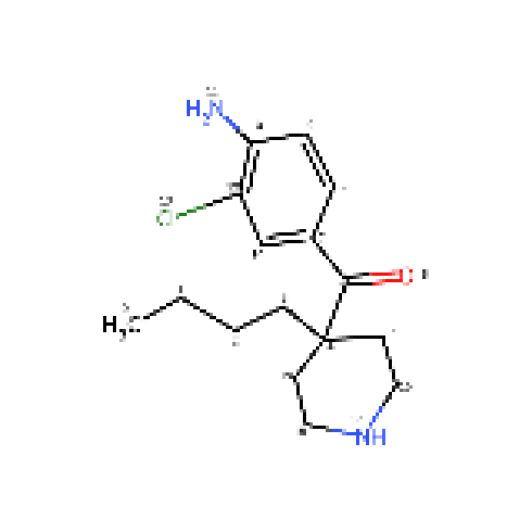 CCCCC1(C(=O)c2ccc(N)c(Cl)c2)CCNCC1